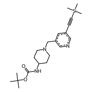 CC(C)(C)OC(=O)NC1CCN(Cc2cncc(C#C[Si](C)(C)C)c2)CC1